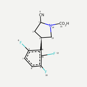 N#CC1C[C@H](c2c(F)ccc(F)c2F)CN1C(=O)O